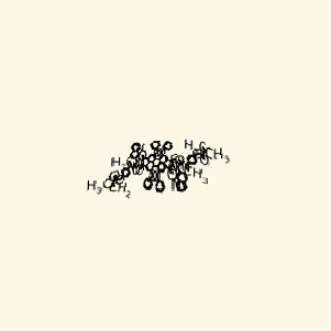 C=C(C)C(=O)Oc1ccc(N(C)C(=O)C(c2ccc3cccnc3c2)N2C(=O)c3cc(Oc4ccccc4)c4c5c(Oc6ccccc6)cc6c7c(cc(Oc8ccccc8)c(c8c(Oc9ccccc9)cc(c3c48)C2=O)c75)C(=O)N(C(C(=O)N(C)c2ccc(OC(=O)C(=C)C)cc2)c2ccc3cccnc3c2)C6=O)cc1